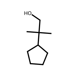 CC(C)(CO)C1CCCC1